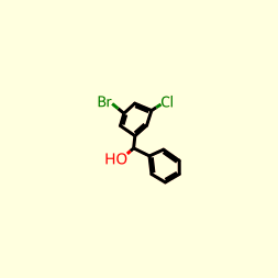 OC(c1ccccc1)c1cc(Cl)cc(Br)c1